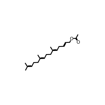 CC(=O)OCC=CC/C=C(\C)CC/C=C(\C)CCC=C(C)C